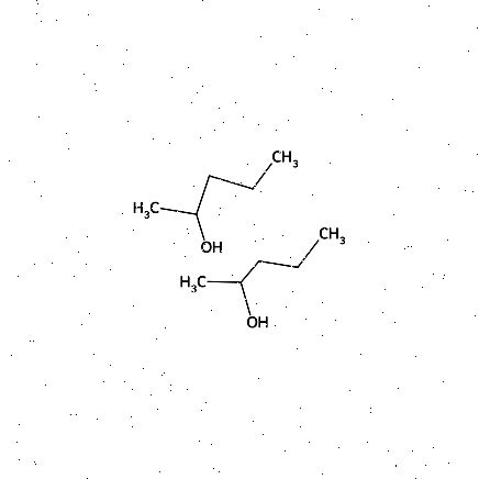 CCCC(C)O.CCCC(C)O